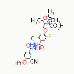 CC(C)Oc1ccc(C(=O)NNC(=O)c2cc(F)c(OCC3C(C)OC(C)(C)N3C(=O)O)cc2Cl)cc1C#N